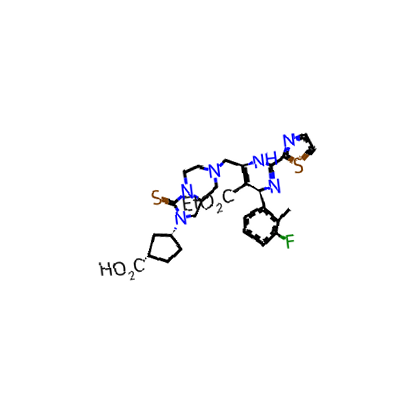 CCOC(=O)C1=C(CN2CCN3C(=S)N([C@@H]4CC[C@H](C(=O)O)C4)CC3C2)NC(c2nccs2)=N[C@H]1c1cccc(F)c1C